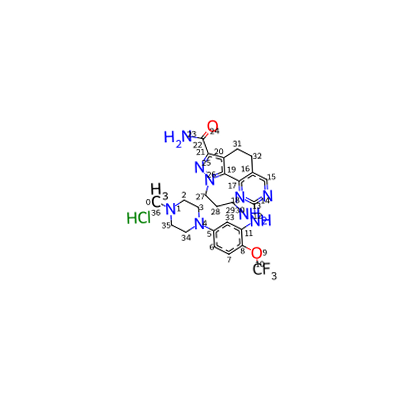 CN1CCN(c2ccc(OC(F)(F)F)c(Nc3ncc4c(n3)-c3c(c(C(N)=O)nn3CCCN)CC4)c2)CC1.Cl